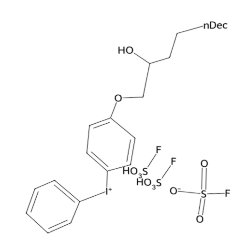 CCCCCCCCCCCCC(O)COc1ccc([I+]c2ccccc2)cc1.O=S(=O)(O)F.O=S(=O)(O)F.O=S(=O)([O-])F